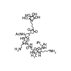 CC(=O)NC(CSC1CC(=O)N(CCCCN2C[C@H](O)[C@@H](O)[C@@H](O)[C@H]2CO)C1=O)C(=O)NC(CCCCN)C(=O)NCC(=O)NCC(=O)NC(C)C(=O)NC(CCCCN)C(=O)NC(CC(C)C)C(C)=O